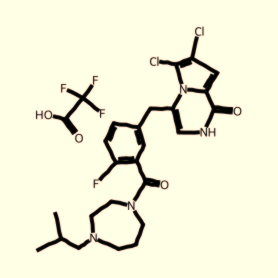 CC(C)CN1CCCN(C(=O)c2cc(Cc3c[nH]c(=O)c4cc(Cl)c(Cl)n34)ccc2F)CC1.O=C(O)C(F)(F)F